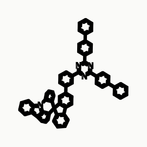 c1ccc(-c2ccc(-c3nc(-c4ccc(-c5ccccc5)cc4)nc(-c4cccc(-c5ccc6c(c5)C5(c7ccccc7-6)c6ccccc6-n6c7ccccc7c7cccc5c76)c4)n3)cc2)cc1